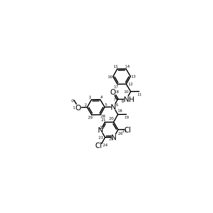 COc1ccc(N(C(=O)NC(C)c2ccccc2)C(C)c2cnc(Cl)nc2Cl)cc1